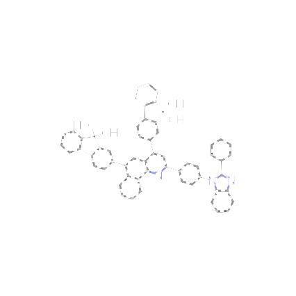 CC1(C)C2=C(CCC=C2)c2ccc(-c3cc(-c4ccc(-n5c(-c6ccccc6)nc6ccccc65)cc4)nc4c3cc(-c3ccc5c(c3)C(C)(C)c3ccccc3-5)c3ccccc34)cc21